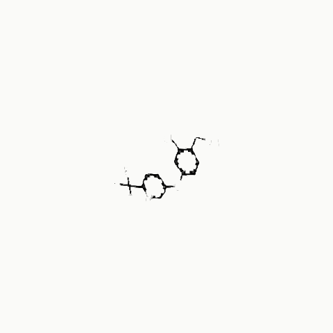 OCc1ccc(Oc2ccc(C(F)(F)F)nc2)cc1Cl